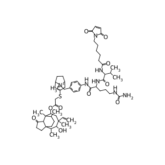 C=CC1(C)CC(OC(=O)CSC2CC3CCC(C2)[N+]3(C)Cc2ccc(NC(=O)C(CCCNC(N)=O)NC(=O)C(NC(=O)CCCCCN3C(=O)C=CC3=O)C(C)C)cc2)C2(C)C(C)CCC3(CCC(=O)C32)C(C)C1O